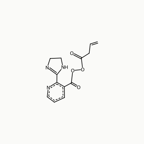 C=CCC(=O)OOC(=O)c1cccnc1C1=NCCN1